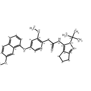 COc1ccc2nccc(Oc3cnc(CC(=O)Nc4c5c(nn4C(C)(C)C)CCC5)c(OC)c3)c2c1